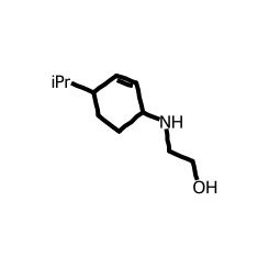 CC(C)C1C=CC(NCCO)CC1